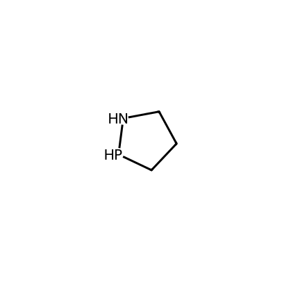 C1CNPC1